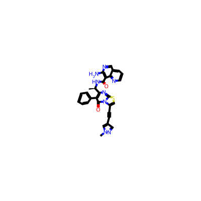 C[C@@H](NC(=O)c1c(N)ncc2cccnc12)c1nc2scc(C#Cc3cnn(C)c3)n2c(=O)c1-c1ccccc1